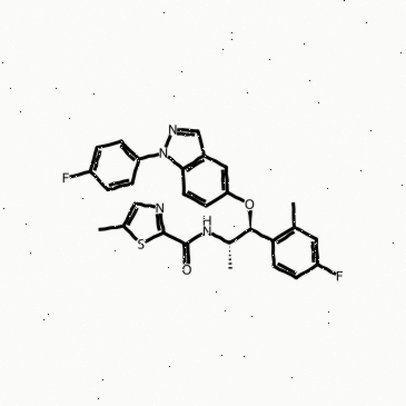 Cc1cnc(C(=O)N[C@@H](C)[C@@H](Oc2ccc3c(cnn3-c3ccc(F)cc3)c2)c2ccc(F)cc2C)s1